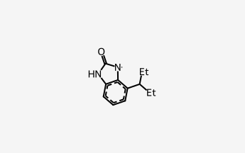 CCC(CC)c1cccc2c1[N]C(=O)N2